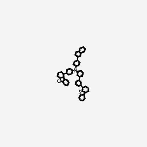 c1cc(-c2cccc(N(c3ccc(-c4ccc5ccccc5c4)cc3)c3ccc(-c4cccc5oc6ccccc6c45)cc3)c2)cc(-c2cccc3c2sc2ccccc23)c1